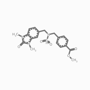 COC(=O)c1ccc(CN(Cc2ccc3c(c2)n(C)c(=O)n3C)[SH](=O)=O)cc1